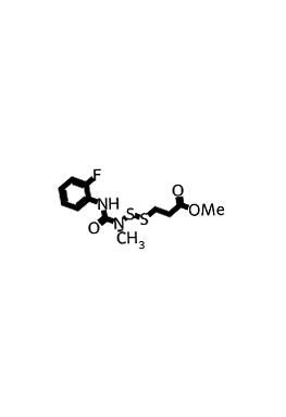 COC(=O)CCSSN(C)C(=O)Nc1ccccc1F